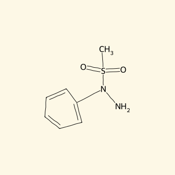 CS(=O)(=O)N(N)c1ccccc1